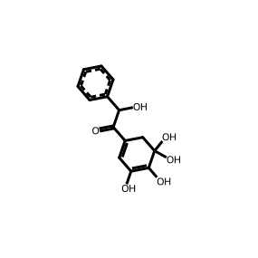 O=C(C1=CC(O)=C(O)C(O)(O)C1)C(O)c1ccccc1